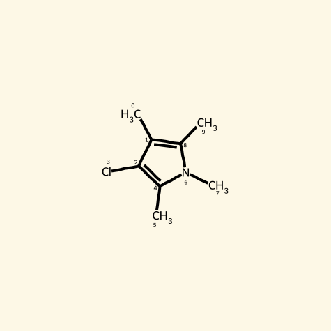 Cc1c(Cl)c(C)n(C)c1C